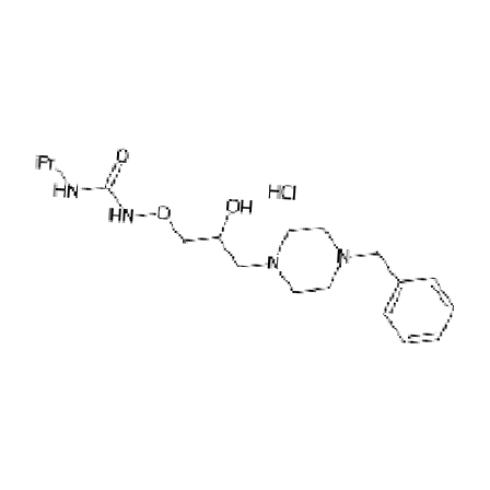 CC(C)NC(=O)NOCC(O)CN1CCN(Cc2ccccc2)CC1.Cl